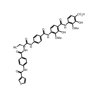 COc1c(NC(=O)c2ccc(NC(=O)c3ccc(NC(=O)[C@H](CC#N)NC(=O)c4ccc(NC(=O)c5ccsc5)cc4)cc3)c(OC)c2O)ccc(C(=O)O)c1O